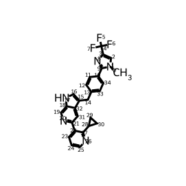 Cn1cc(C(F)(F)F)nc1-c1ccc(Cc2c[nH]c3cnc(-c4cccnc4C4CC4)cc23)cc1